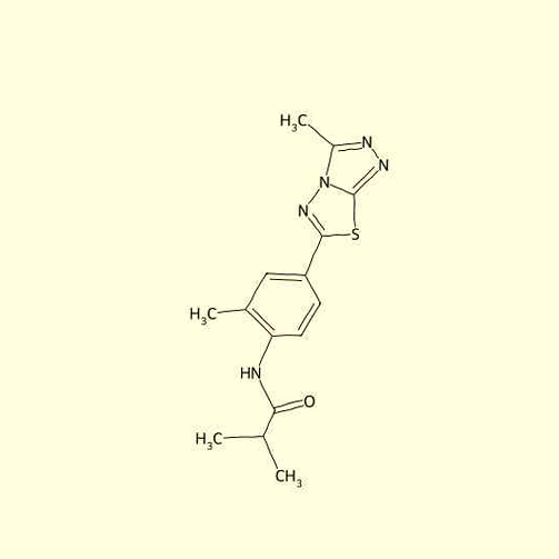 Cc1cc(-c2nn3c(C)nnc3s2)ccc1NC(=O)C(C)C